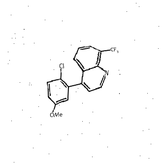 COc1ccc(Cl)c(-c2ccnc3c(C(F)(F)F)cccc23)c1